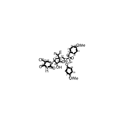 COc1ccc(OSP(=O)(OC[C@@]2(C(F)F)O[C@@H](n3cc(Cl)c(=O)[nH]c3=O)[C@H](O)[C@@H]2O)Oc2ccc(OC)cc2)cc1